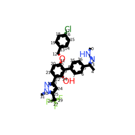 CN/N=C(/C)c1ccc(-c2c(OCc3ccc(Cl)cc3)ccc(-c3cc(C(F)(F)F)n(C)n3)c2O)cc1